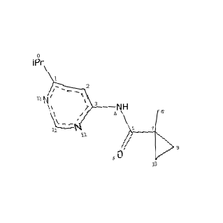 CC(C)c1cc(NC(=O)C2(C)CC2)ncn1